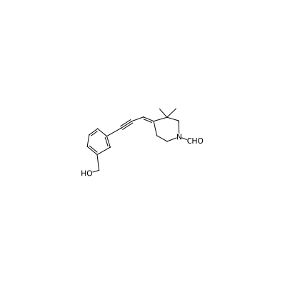 CC1(C)CN(C=O)CC/C1=C\C#Cc1cccc(CO)c1